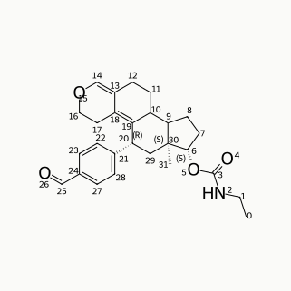 CCNC(=O)O[C@H]1CCC2C3CCC4=COCCC4=C3[C@@H](c3ccc(C=O)cc3)C[C@@]21C